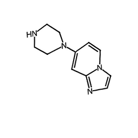 c1cn2ccc(N3CCNCC3)cc2n1